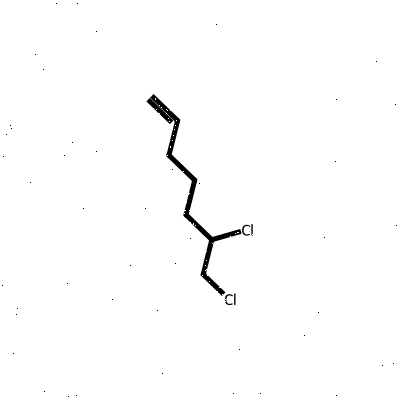 C=CCCCC(Cl)CCl